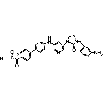 CN(C)C(=O)c1ccc(-c2ccc(Nc3cncc(N4CCN(Cc5cccc(N)c5)C4=O)c3)nc2)cc1